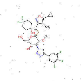 CO[C@@H]1[C@@H](n2cc(-c3cc(F)c(F)c(F)c3)nn2)[C@@H](O)[C@@H](CO)O[C@H]1S[C@H](c1noc(C2CC2)c1C)C1(O)CCC(F)(F)CC1